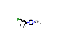 C=C(CCCF)N1CCN(C)CC1